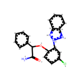 NC(=O)C(Oc1ccc(Cl)cc1-n1nc2ccccc2n1)c1ccccc1